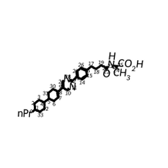 CCCC1CCC(C2CC=C(c3cnc(-c4ccc(CCCC(=O)NC(C)C(=O)O)cc4)nc3)CC2)CC1